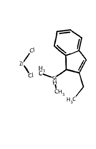 CCC1=Cc2ccccc2C1[SiH](C)C.[Cl][Zr][Cl]